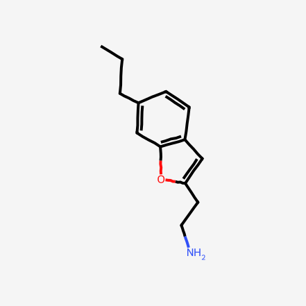 CCCc1ccc2cc(CCN)oc2c1